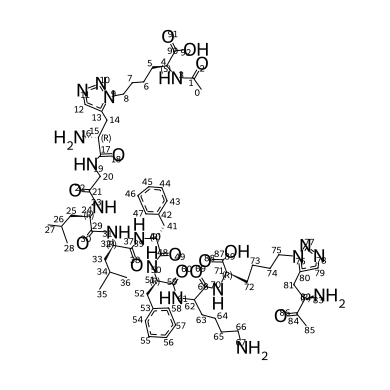 CC(=O)N[C@@H](CCCCn1nncc1C[C@@H](N)C(=O)NCC(=O)N[C@H](CC(C)C)C(=O)N[C@H](CC(C)C)C(=O)N[C@H](Cc1ccccc1)C(=O)N[C@H](Cc1ccccc1)C(=O)NC(CCCCN)C(=O)N[C@H](CCCCn1nncc1C[C@@H](N)C(C)=O)C(=O)O)C(=O)O